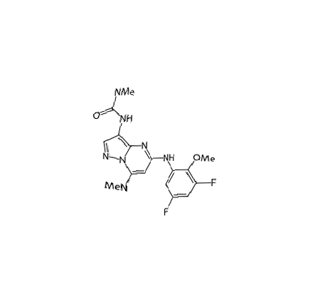 CNC(=O)Nc1cnn2c(NC)cc(Nc3cc(F)cc(F)c3OC)nc12